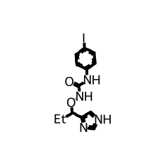 CCC(ONC(=O)Nc1ccc(I)cc1)c1c[nH]cn1